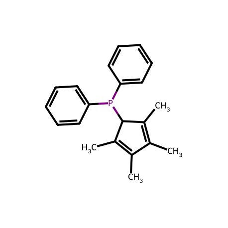 CC1=C(C)C(P(c2ccccc2)c2ccccc2)C(C)=C1C